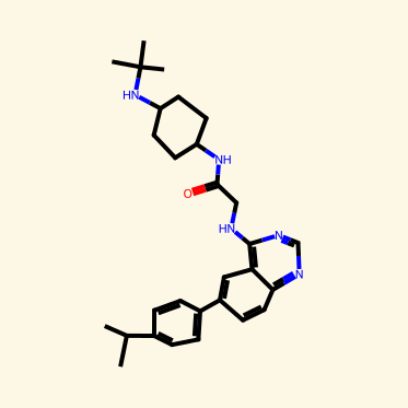 CC(C)c1ccc(-c2ccc3ncnc(NCC(=O)NC4CCC(NC(C)(C)C)CC4)c3c2)cc1